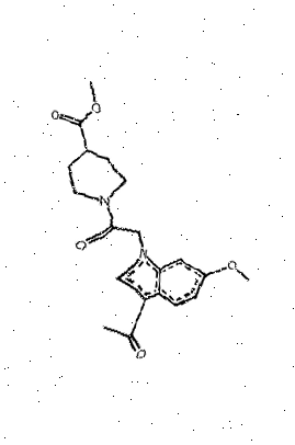 COC(=O)C1CCN(C(=O)Cn2cc(C(C)=O)c3ccc(OC)cc32)CC1